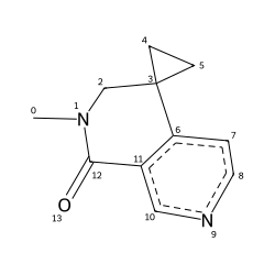 CN1CC2(CC2)c2ccncc2C1=O